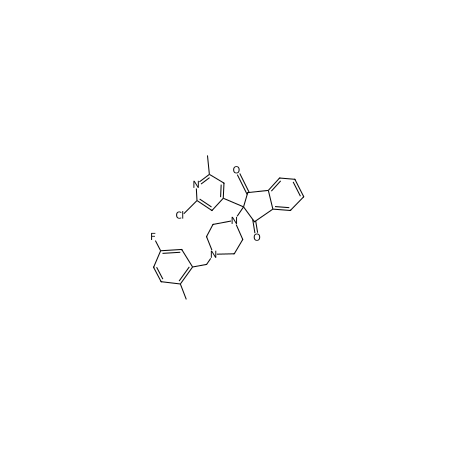 Cc1cc(C2(N3CCN(Cc4cc(F)ccc4C)CC3)C(=O)c3ccccc3C2=O)cc(Cl)n1